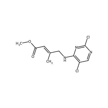 COC(=O)/C=C(\C)CNc1nc(Cl)ncc1Cl